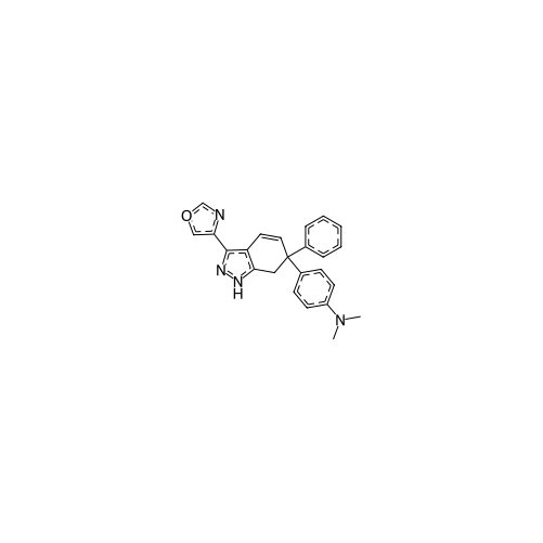 CN(C)c1ccc(C2(c3ccccc3)C=Cc3c(-c4cocn4)n[nH]c3C2)cc1